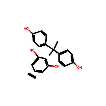 C=C.CC(C)(c1ccc(O)cc1)c1ccc(O)cc1.Oc1cccc(O)c1